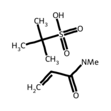 C=CC(=O)NC.CC(C)(C)S(=O)(=O)O